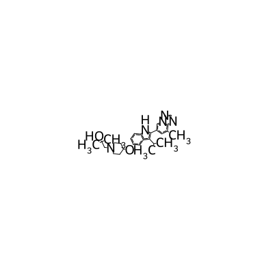 Cc1cc(-c2[nH]c3ccc(OC4CCN(CC(C)(C)O)CC4)cc3c2C(C)C)cn2ncnc12